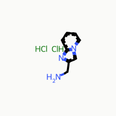 Cl.Cl.NCc1cn2ccccc2n1